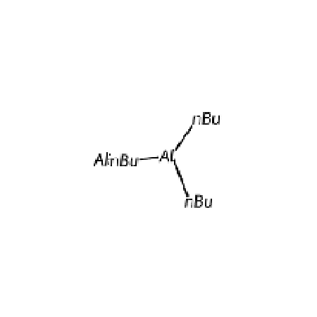 CCC[CH2][Al]([CH2]CCC)[CH2]CCC.[Al]